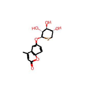 Cc1cc(=O)oc2ccc(O[C@@H]3SC[C@@H](O)[C@H](O)[C@H]3O)cc12